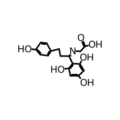 O=C(O)CN=C(CCc1ccc(O)cc1)c1c(O)cc(O)cc1O